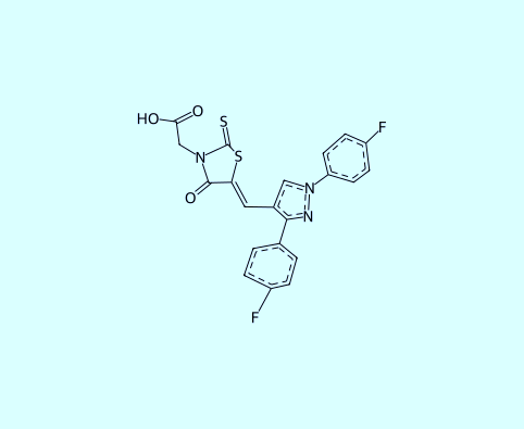 O=C(O)CN1C(=O)C(=Cc2cn(-c3ccc(F)cc3)nc2-c2ccc(F)cc2)SC1=S